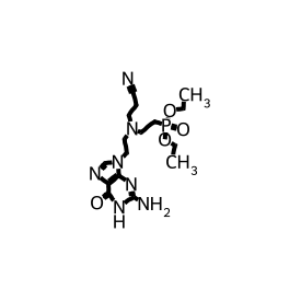 CCOP(=O)(CCN(CCC#N)CCn1cnc2c(=O)[nH]c(N)nc21)OCC